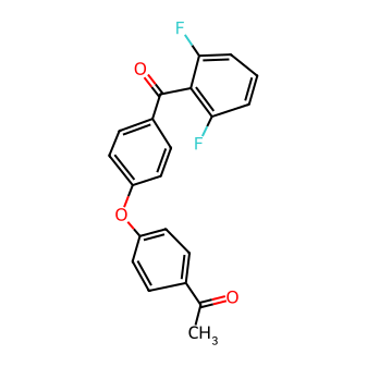 CC(=O)c1ccc(Oc2ccc(C(=O)c3c(F)cccc3F)cc2)cc1